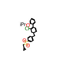 CC(C)Oc1ccccc1C1=C(Cl)CC(Cc2ccc(S(=O)(=O)CC3CC3)cc2)C=C1